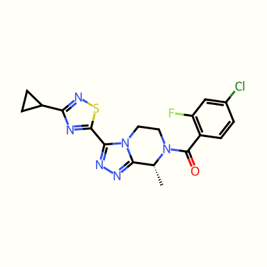 C[C@@H]1c2nnc(-c3nc(C4CC4)ns3)n2CCN1C(=O)c1ccc(Cl)cc1F